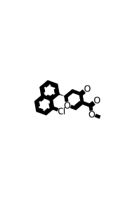 COC(=O)C1=CO[C@H](c2cccc3cccc(Cl)c23)CC1=O